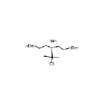 CCCCCCCCCCCCC(CCCCCCCCCCCC)C(C)(C)Cl.N